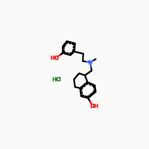 CN(CCc1cccc(O)c1)CC1CCCc2cc(O)ccc21.Cl